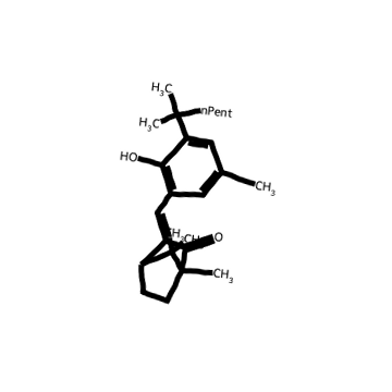 CCCCCC(C)(C)c1cc(C)cc(C=C2C(=O)C3(C)CCC2C3(C)C)c1O